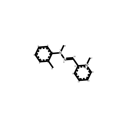 Cc1ccccc1N(C)N=Cc1cccc[n+]1C